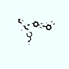 COC(=O)CC1CCN(c2nc(Sc3ccc(S(=O)(=O)C(C)(C)c4cccc([N+](=O)[O-])c4F)cc3F)nc(Nc3cc(C)[nH]n3)c2OC)CC1